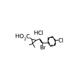 CC1(C)C(C=C(Br)c2ccc(Cl)cc2)C1C(=O)O.Cl